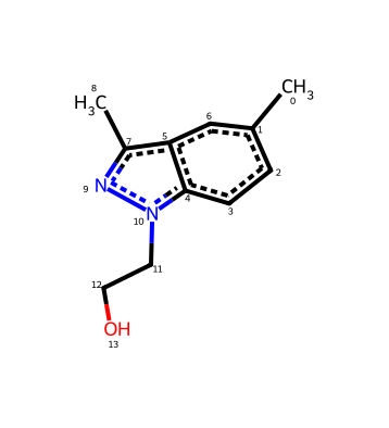 Cc1ccc2c(c1)c(C)nn2CCO